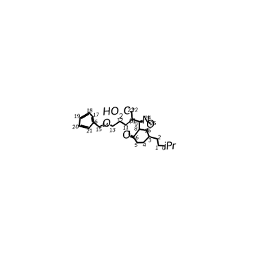 CC(C)CCC1CCC(=O)C2C([C@@H](CCCOCc3ccccc3)CC(=O)O)=NOC12